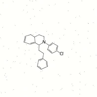 Clc1ccc(N2CCC3CC=CC=C3C2CCc2ccccc2)cc1